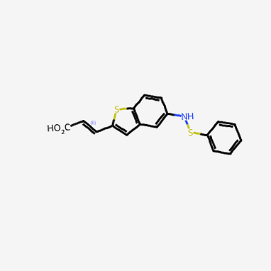 O=C(O)/C=C/c1cc2cc(NSc3ccccc3)ccc2s1